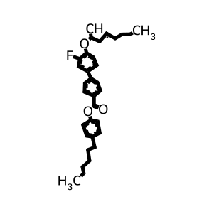 CCCCCCc1ccc(OC(=O)c2ccc(-c3ccc(OC(C)CCCCCC)c(F)c3)cc2)cc1